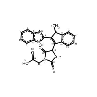 CC1C(c2nc3ccccc3s2)=C(C2SC(=S)N(CC(=O)O)C2=O)c2ccccc21